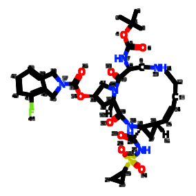 CC(C)(C)OC(=O)N[C@H]1CNCCC/C=C\[C@@H]2C[C@@]2(C(=O)NS(=O)(=O)C2CC2)NC(=O)[C@@H]2C[C@@H](OC(=O)N3Cc4cccc(F)c4C3)CN2C1=O